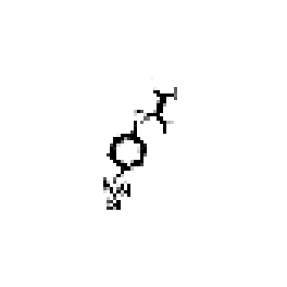 FC(F)=C(F)Oc1cc[c]([Mg][Br])cc1